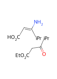 CC(C)/C(N)=C\C(=O)O.CCOC(=O)CC(=O)C(C)C